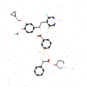 CN1CCC(OC(=O)C(NS(=O)(=O)c2cccc(C(=O)OC(Cc3c(Cl)c[n+]([O-])cc3Cl)c3ccc(OC(F)F)c(OCC4CC4)c3)c2)c2ccccc2)C1